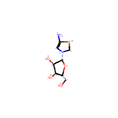 NC1=CN([C@@H]2O[C@H](CO)[C@@H](O)[C@H]2O)CS1